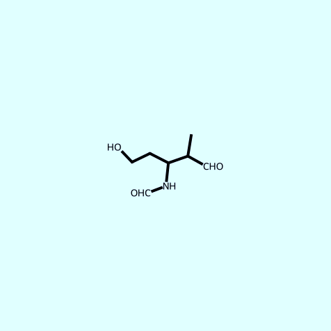 CC(C=O)C(CCO)NC=O